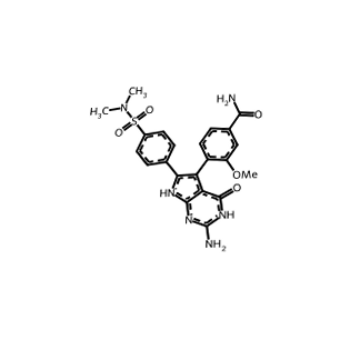 COc1cc(C(N)=O)ccc1-c1c(-c2ccc(S(=O)(=O)N(C)C)cc2)[nH]c2nc(N)[nH]c(=O)c12